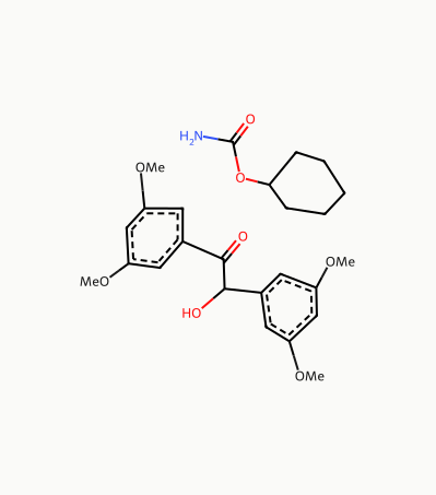 COc1cc(OC)cc(C(=O)C(O)c2cc(OC)cc(OC)c2)c1.NC(=O)OC1CCCCC1